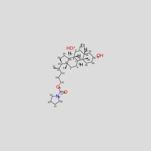 CC[C@H]1[C@@H](O)[C@@H]2[C@H](CC[C@]3(C)[C@@H]([C@H](C)CCCOC(=O)N4CCCC4)CC[C@@H]23)[C@@]2(C)CC[C@@H](O)C[C@@H]12